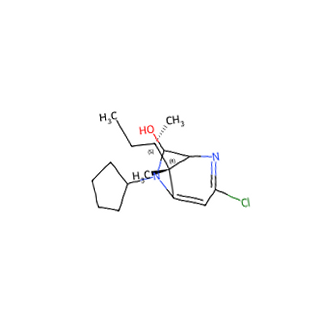 CC[C@H](C)[C@@]1(C)C2=CC(Cl)=NC1C(O)N2C1CCCC1